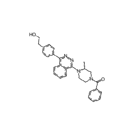 CC1CN(C(=O)c2ccccc2)CCN1c1nnc(-c2ccc(CCO)cc2)c2ccccc12